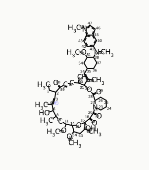 CCC1/C=C(\C)C(O)C(C)CC(OC)C2OC(O)(C(=O)C(=O)N3CCCCC3C(=O)OC(C(C)=CC3CCC(N(C)c4ccc5c(ccn5C)c4)C(OC)C3)C(C)CCC1=O)C(C)CC2OC